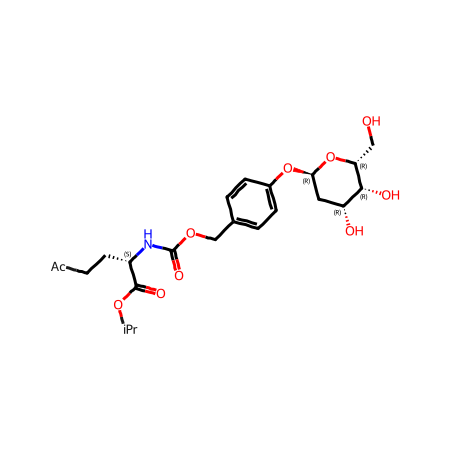 CC(=O)CC[C@H](NC(=O)OCc1ccc(O[C@@H]2C[C@@H](O)[C@@H](O)[C@@H](CO)O2)cc1)C(=O)OC(C)C